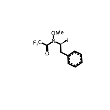 CON(C(=O)C(F)(F)F)[C@@H](I)Cc1ccccc1